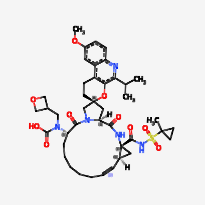 COc1ccc2nc(C(C)C)c3c(c2c1)CC[C@]1(C[C@H]2C(=O)N[C@]4(C(=O)NS(=O)(=O)C5(C)CC5)C[C@H]4/C=C\CCCCC[C@H](N(CC4COC4)C(=O)O)C(=O)N2C1)O3